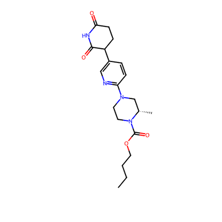 CCCCOC(=O)N1CCN(c2ccc(C3CCC(=O)NC3=O)cn2)C[C@@H]1C